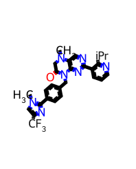 CC(C)c1ncccc1-c1ncc2c(n1)N(Cc1ccc(-c3nc(C(F)(F)F)cn3C)cc1)C(=O)CN2C